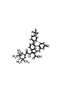 CC1(C)CC(C(=O)Nc2c(C(=O)O)n(Cc3cccc(Cl)c3)c3cc(-c4ccc(C(F)(F)F)cc4)ccc23)CC(C)(C)C1